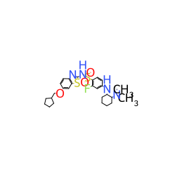 CN(C)[C@H]1CCCC[C@@H]1Nc1ccc(S(=O)(=O)Nc2nc3ccc(OCC4CCCC4)cc3s2)c(F)c1